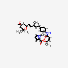 CC(/C=C/[C@@H]1C[C@]2(CO2)CC(C)(C)O1)=C\CC1CCC(NC(=O)/C=C\[C@H](C)OC(=O)c2cccn2C)CC1